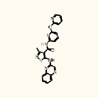 Cc1nsc(Nc2cnc3ccccc3n2)c1C(=O)Nc1cccc(Oc2ccccn2)n1